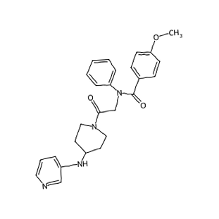 COc1ccc(C(=O)N(CC(=O)N2CCC(Nc3cccnc3)CC2)c2ccccc2)cc1